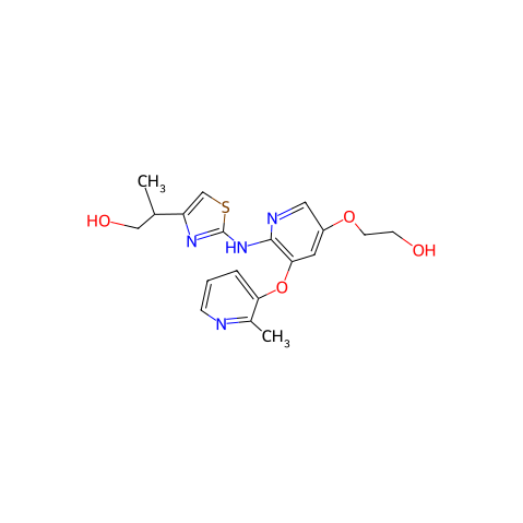 Cc1ncccc1Oc1cc(OCCO)cnc1Nc1nc(C(C)CO)cs1